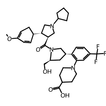 COC1=CCC([C@@H]2CN(C3CCCC3)C[C@H]2C(=O)N2C[C@H](c3ccc(C(F)(F)F)cc3N3CCC(C(=O)O)CC3)C[C@H]2CO)C=C1